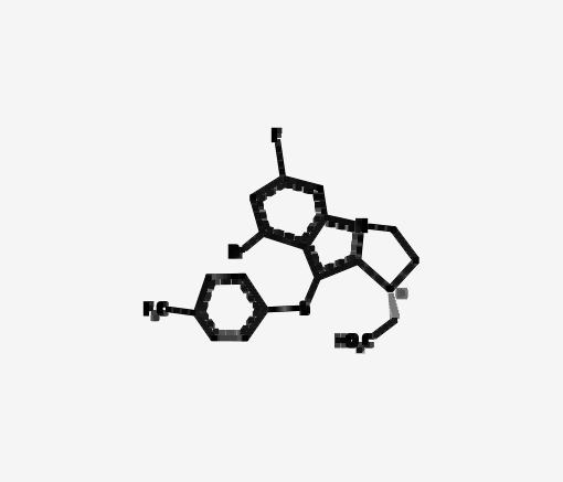 O=C(O)C[C@H]1CCn2c1c(Sc1ccc(C(F)(F)F)cc1)c1c(Br)cc(F)cc12